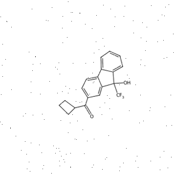 O=C(c1ccc2c(c1)C(O)(C(F)(F)F)c1ccccc1-2)C1CCC1